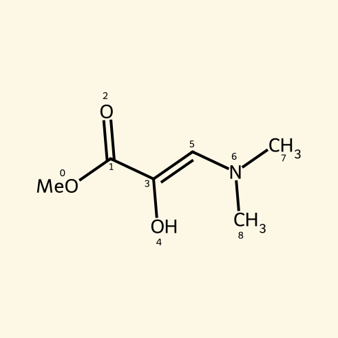 COC(=O)C(O)=CN(C)C